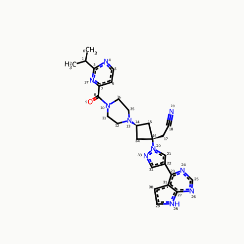 CC(C)c1nccc(C(=O)N2CCN([C@H]3C[C@](CC#N)(n4cc(-c5ncnc6[nH]ccc56)cn4)C3)CC2)n1